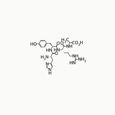 C[C@H](NC(=O)[C@H](CCCNC(=N)N)NC(=O)[C@H](Cc1ccc(O)cc1)NC(=O)[C@@H](N)Cc1c[nH]cn1)C(=O)O